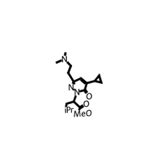 COC(=O)C(CC(C)C)n1nc(CCN(C)C)cc(C2CC2)c1=O